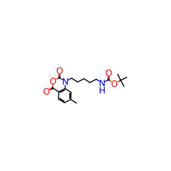 Cc1ccc2c(=O)oc(=O)n(CCCCCNC(=O)OC(C)(C)C)c2c1